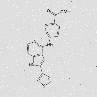 COC(=O)c1ccc(Nc2nccc3[nH]c(-c4ccsc4)cc23)cc1